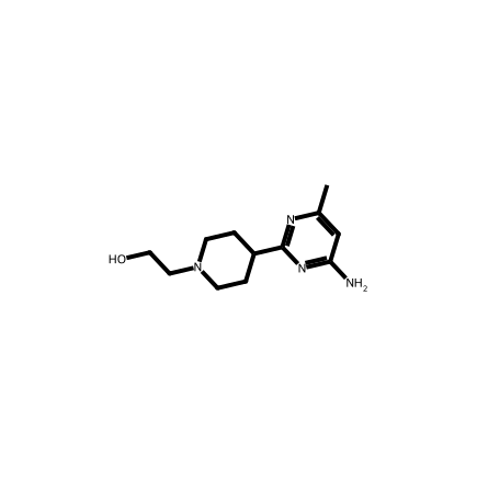 Cc1cc(N)nc(C2CCN(CCO)CC2)n1